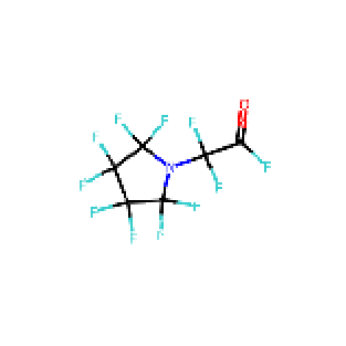 O=C(F)C(F)(F)N1C(F)(F)C(F)(F)C(F)(F)C1(F)F